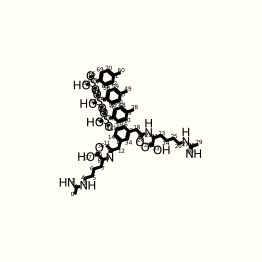 CC(=N)NCCCCC(/N=C(\C)Cc1cccc(CC(=O)NC(CCCCNC(C)=N)C(=O)O)c1)C(=O)O.Cc1ccc(S(=O)(=O)O)cc1.Cc1ccc(S(=O)(=O)O)cc1.Cc1ccc(S(=O)(=O)O)cc1